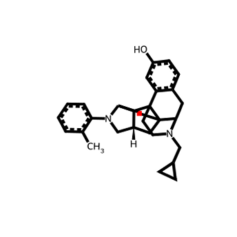 Cc1ccccc1N1C[C@H]2CC34CCC1C2C31CCN(CC2CC2)C4Cc2ccc(O)cc21